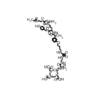 CCC(=O)NCCNC(=O)/N=C(/N)NCCC[C@@H](NC(=O)C(C)c1cccc(OCCCCNc2c(NCCNC(=O)[C@@H](CN)NCN3CCN(CC(=O)O)CCN(CC(=O)O)CCN(CC(=O)O)CC3)c(=O)c2=O)c1)C(=O)NCc1ccc(O)cc1